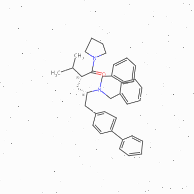 CC(C)[C@@H](C[C@@H](Cc1ccc(-c2ccccc2)cc1)N(Cc1ccccc1)Cc1ccccc1)C(=O)N1CCCC1